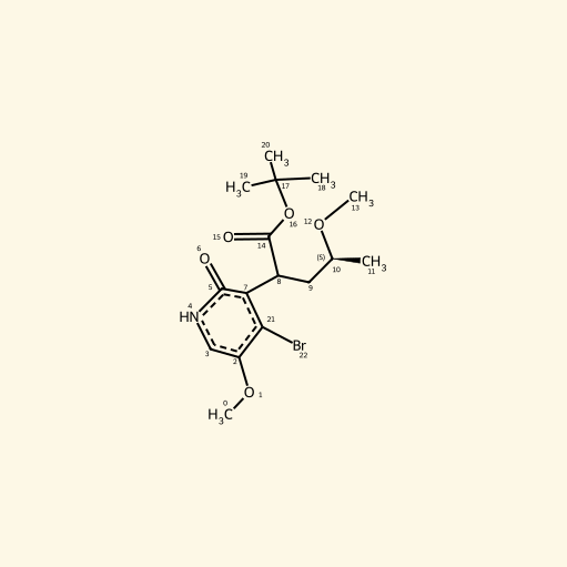 COc1c[nH]c(=O)c(C(C[C@H](C)OC)C(=O)OC(C)(C)C)c1Br